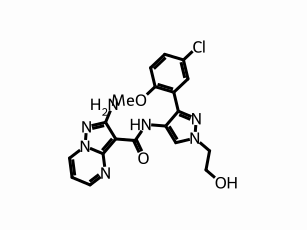 COc1ccc(Cl)cc1-c1nn(CCO)cc1NC(=O)c1c(N)nn2cccnc12